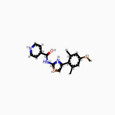 CSc1cc(C)c(-c2csc(NC(=O)c3ccncc3)n2)c(C)c1